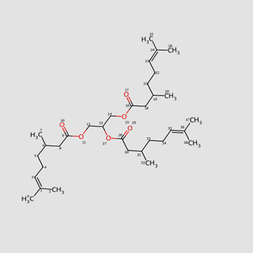 CC(C)=CCCC(C)CC(=O)OCC(COC(=O)CC(C)CCC=C(C)C)OC(=O)CC(C)CCC=C(C)C